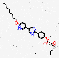 CCCCCCCCOc1ccc(-c2cnc(-c3ccc(OC(=O)[C@@H]4O[C@@H]4CCC)cc3)nc2)cn1